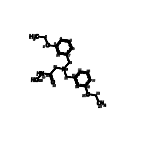 CCOc1cccc(CN(CC(=O)NO)Cc2cccc(OCC)c2)c1